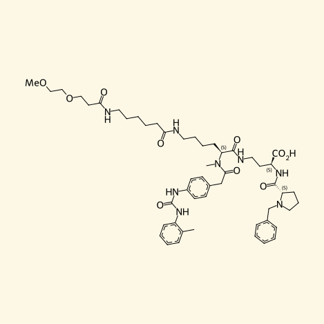 COCCOCCC(=O)NCCCCCC(=O)NCCCC[C@@H](C(=O)NCC[C@H](NC(=O)[C@@H]1CCCN1Cc1ccccc1)C(=O)O)N(C)C(=O)Cc1ccc(NC(=O)Nc2ccccc2C)cc1